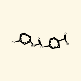 CCC(=O)c1ccc(NC(=O)Nc2cccc(C#N)c2)cc1